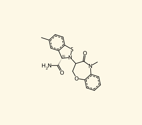 Cc1ccc2c(c1)[C@@H](C(N)=O)N(C1COc3ccccc3N(C)C1=O)S2